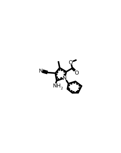 COC(=O)c1c(C)c(C#N)c(N)n1-c1ccccc1